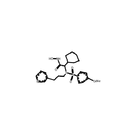 COc1ccc(S(=O)(=O)N(CCCc2cccnc2)C(C(=O)NO)C2CCCCC2)cc1